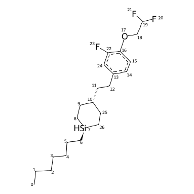 CCCCCCC[Si@H]1CC[C@H](CCc2ccc(OCC(F)F)c(F)c2)CC1